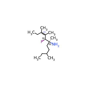 CC/C(C)=C(/C)[C@H](I)[C@@](C)(N)CCC(C)CC